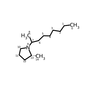 CCCCCCCC(C)N1CCC[C@H]1C